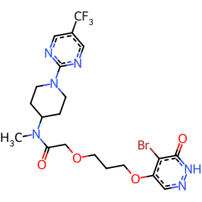 CN(C(=O)COCCCOc1cn[nH]c(=O)c1Br)C1CCN(c2ncc(C(F)(F)F)cn2)CC1